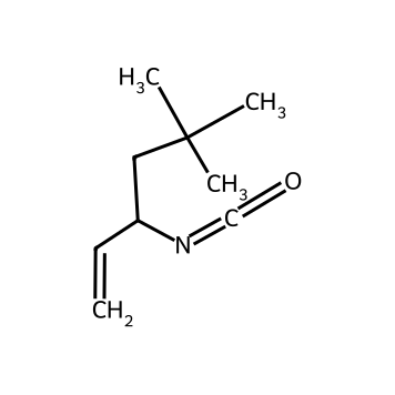 C=CC(CC(C)(C)C)N=C=O